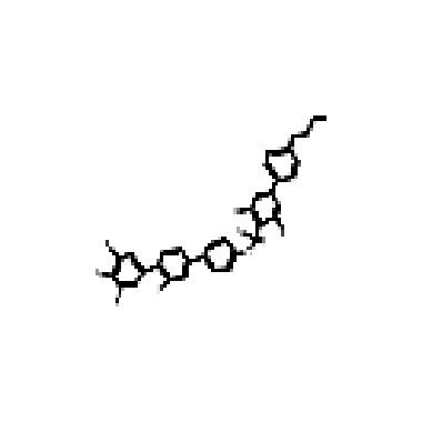 C=CCCc1ccc(-c2cc(F)c(C(F)(F)Oc3ccc(-c4ccc(-c5cc(F)c(F)c(F)c5)c(F)c4)cc3)c(F)c2)cc1